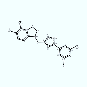 N#Cc1ccc2c(c1C(F)(F)F)CCN2Cc1noc(-c2cc(F)cc(C(F)(F)F)c2)n1